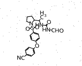 CC(NC(=O)NC=O)C1CCCN1S(=O)(=O)c1ccc(Oc2ccc(C#N)cc2)cc1